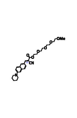 COCCOCCOCCOCCOC(=O)/C(C#N)=C/c1ccc2cc(N3CCCCC3)ccc2c1